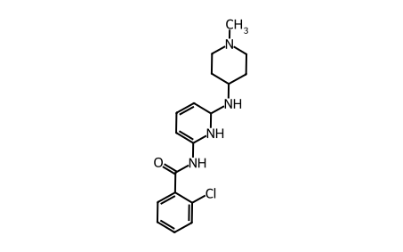 CN1CCC(NC2C=CC=C(NC(=O)c3ccccc3Cl)N2)CC1